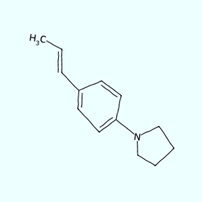 C/C=C/c1ccc(N2CCCC2)cc1